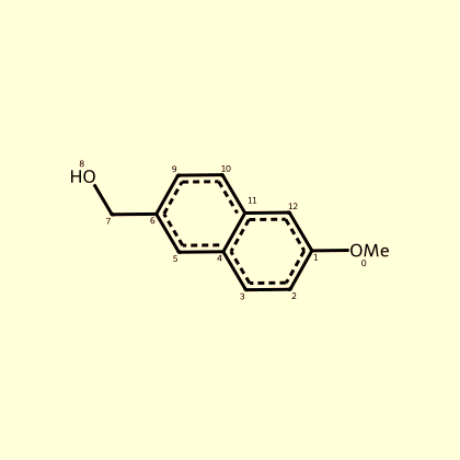 COc1ccc2cc(CO)ccc2c1